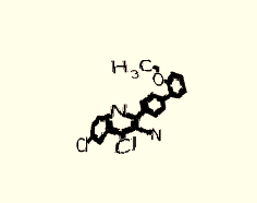 CCOc1ccccc1-c1ccc(-c2nc3ccc(Cl)cc3c(Cl)c2C#N)cc1